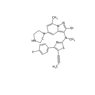 CC#Cc1sc(N(C)c2c(CC)nn3c(C)cc(N4CCNCC4)cc23)nc1-c1ccc(F)cc1